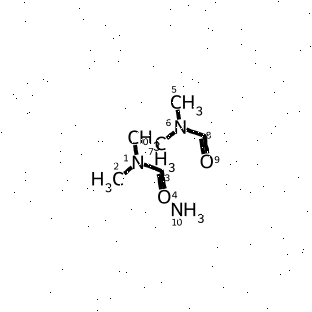 CN(C)C=O.CN(C)C=O.N